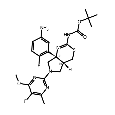 COc1nc(N2C[C@H]3CSC(NC(=O)OC(C)(C)C)=N[C@@]3(c3cc(N)ccc3F)C2)nc(C)c1F